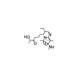 CCC(/C=N\C(=C(/C)C(=O)NC)N(C)C(C)=O)CCCCC(=O)C(C)O